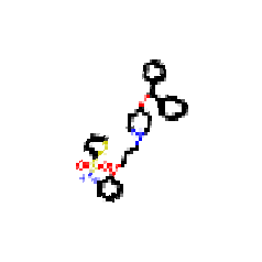 O=S(=O)(Nc1ccccc1OCCCN1CCC(OC(c2ccccc2)c2ccccc2)CC1)c1cccs1